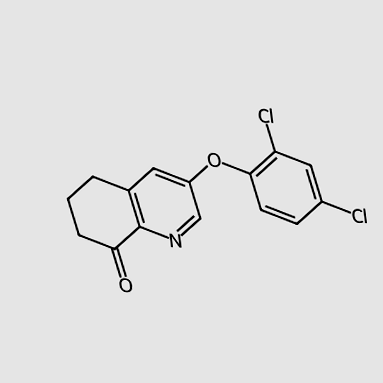 O=C1CCCc2cc(Oc3ccc(Cl)cc3Cl)cnc21